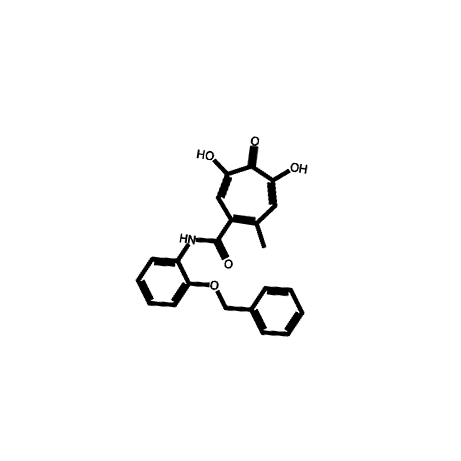 Cc1cc(O)c(=O)c(O)cc1C(=O)Nc1ccccc1OCc1ccccc1